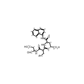 CC(C)CC(C(=O)NC(C=O)CC(=O)O)C(=O)NC(CCC(=O)O)C(=O)Nc1cccc2ccccc12